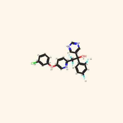 OC(c1cncnc1)(c1ccc(F)cc1F)C(F)(F)c1ccc(Oc2cccc(Cl)c2)cn1